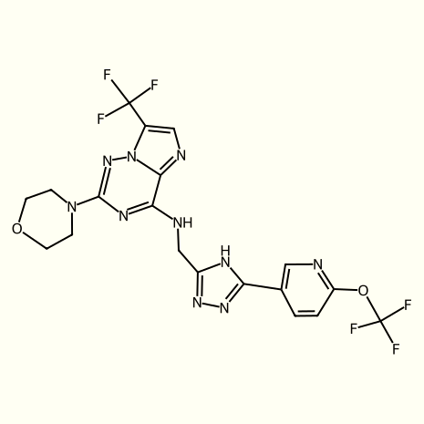 FC(F)(F)Oc1ccc(-c2nnc(CNc3nc(N4CCOCC4)nn4c(C(F)(F)F)cnc34)[nH]2)cn1